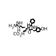 N=C(N)NCCC[C@@H](/C=C/C(=O)O)NC(=O)[C@H](Cc1ccc(O)cc1)NC(=O)c1ccccc1